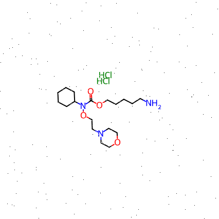 Cl.Cl.NCCCCCOC(=O)N(OCCN1CCOCC1)C1CCCCC1